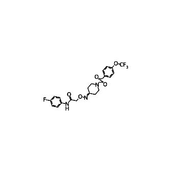 O=C(CON=C1CCN(S(=O)(=O)c2ccc(OC(F)(F)F)cc2)CC1)Nc1ccc(F)cc1